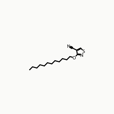 CCCCCCCCCCCCOc1nscc1C#N